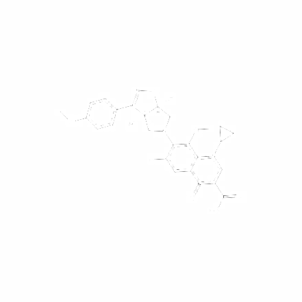 COc1ccc(C2=NO[C@H]3CN(c4c(F)cc5c(=O)c(C(=O)O)cn(C6CC6)c5c4OC)C[C@@H]23)cc1